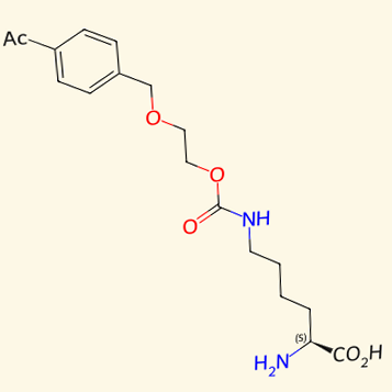 CC(=O)c1ccc(COCCOC(=O)NCCCC[C@H](N)C(=O)O)cc1